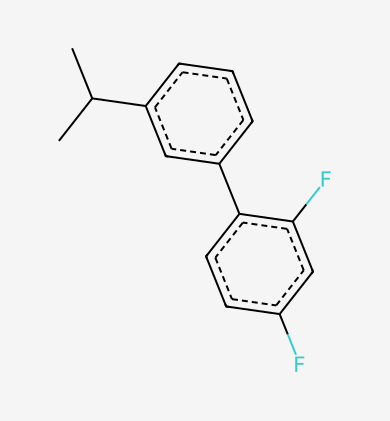 CC(C)c1cccc(-c2ccc(F)cc2F)c1